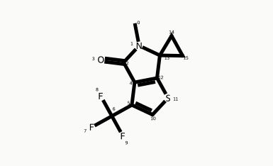 CN1C(=O)c2c(C(F)(F)F)csc2C12CC2